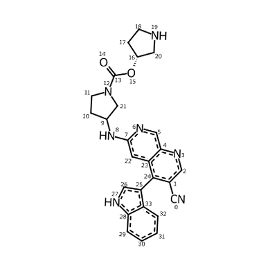 N#Cc1cnc2cnc(NC3CCN(C(=O)O[C@@H]4CCNC4)C3)cc2c1-c1c[nH]c2ccccc12